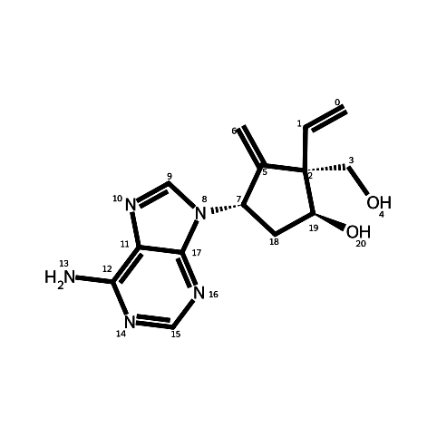 C=C[C@]1(CO)C(=C)[C@@H](n2cnc3c(N)ncnc32)C[C@@H]1O